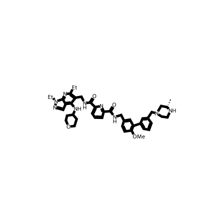 CCc1nc2c(cnn2CC)c(NC2CCOCC2)c1CNC(=O)c1cccc(C(=O)NCc2ccc(OC)c(-c3cccc(CN4CCN[C@@H](C)C4)c3)c2)n1